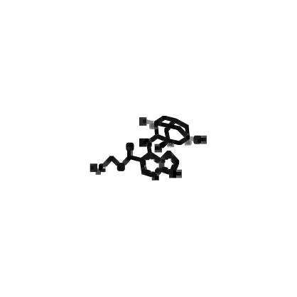 CCOC(=O)c1cnc2[nH]ccc2c1NC1[C@@H]2CC3C[C@H]1C[C@@](O)(C3)C2